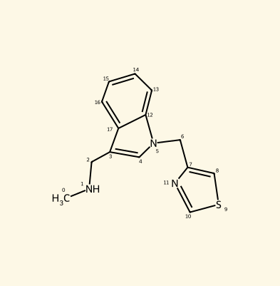 CNCc1cn(Cc2cscn2)c2ccccc12